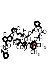 Cc1c(-c2ccc(N3CCc4c(F)ccc(C(=O)Nc5nc6ccccc6s5)c4C3)nc2C(=O)O)cnn1CC12CC3(C)CC(C)(C1)CC(OCCNC(=O)OCc1cc[c]cc1OCCOCCNC(=O)CCN1C(=O)C=CC1=O)(C3)C2